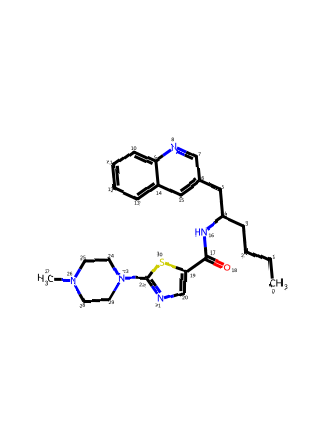 CCCCC(Cc1cnc2ccccc2c1)NC(=O)c1cnc(N2CCN(C)CC2)s1